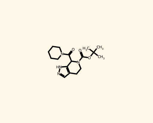 CC(C)(C)OC(=O)N1CCc2cn[nH]c2C1C(=O)N1CCCCC1